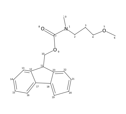 [CH2]N(CCCOC)C(=O)OCC1c2ccccc2-c2ccccc21